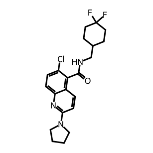 O=C(NCC1CCC(F)(F)CC1)c1c(Cl)ccc2nc(N3CCCC3)ccc12